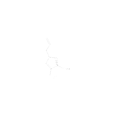 C=CCn1cc(C(=O)O)c(OC)n1